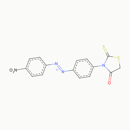 O=C1CSC(=S)N1c1ccc(/N=N/c2ccc([N+](=O)[O-])cc2)cc1